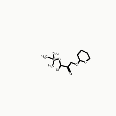 CCCC[Si](C)(C)OC(CC)C(=O)COC1CCCCO1